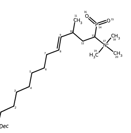 CCCCCCCCCCCCCCCCCC=CC(C)CC(P(=O)=O)[N+](C)(C)C